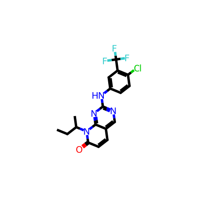 CCC(C)n1c(=O)ccc2cnc(Nc3ccc(Cl)c(C(F)(F)F)c3)nc21